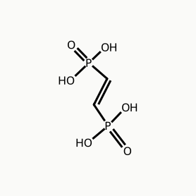 O=P(O)(O)/C=C/P(=O)(O)O